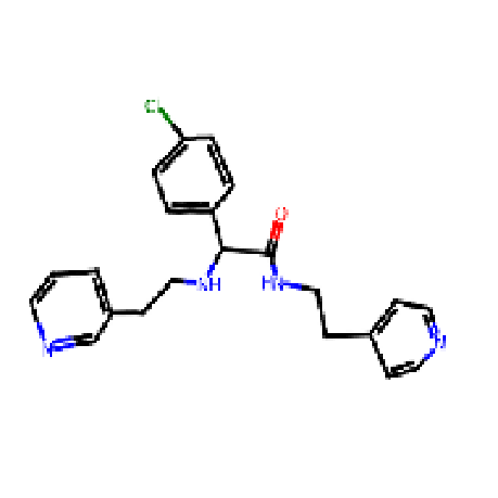 O=C(NCCc1ccncc1)C(NCCc1cccnc1)c1ccc(Cl)cc1